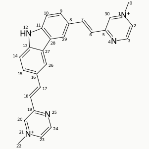 C[n+]1ccnc(C=Cc2ccc3[nH]c4ccc(C=Cc5c[n+](C)ccn5)cc4c3c2)c1